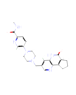 CNC(=O)c1ccc(N2CCN(Cc3cnc4c5c(c(=O)[nH]c4c3F)CCC5)CC2)c(F)n1